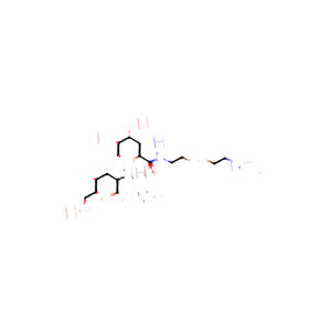 CO[C@H]1OC(CO)C(O)[C@H](O[C@H]2OC(C(=O)NCCSSCCN)C[C@H](O)C2O)C1NC(C)=O